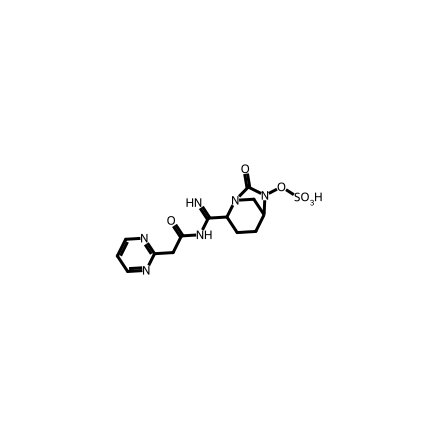 N=C(NC(=O)Cc1ncccn1)C1CCC2CN1C(=O)N2OS(=O)(=O)O